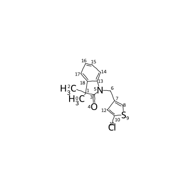 CC1(C)C(=O)N(Cc2csc(Cl)c2)c2ccccc21